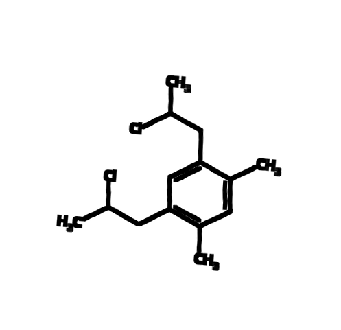 Cc1cc(C)c(CC(C)Cl)cc1CC(C)Cl